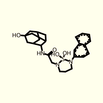 O=C(CN1CCCN(c2ccc3ccccc3c2)S1(O)O)NC1C2CC3CC1CC(O)(C3)C2